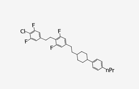 CCCc1ccc(C2CCC(CCc3cc(F)c(CCc4cc(F)c(Cl)c(F)c4)c(F)c3)CC2)cc1